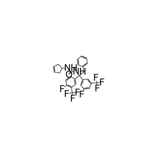 O=C(NC1CC=CC1)NC(Cc1ccccc1)(c1cc(F)cc(C(F)(F)F)c1)c1ccc(F)c(C(F)(F)F)c1